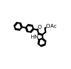 CC(=O)OCCc1c(C(=O)c2ccc(-c3ccccc3)cc2)[nH]c2ccccc12